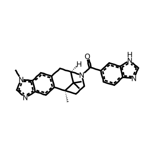 Cn1cnc2cc3c(cc21)C[C@H]1N(C(=O)c2ccc4nc[nH]c4c2)CC[C@]3(C)C1(C)C